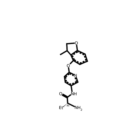 CC[C@@H](N)C(=O)Nc1ccc(Oc2cccc3c2C(C)CO3)nc1